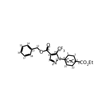 CCOC(=O)C12CCC(n3ncc(C(=O)OCc4ccccc4)c3C(F)(F)F)(CC1)CC2